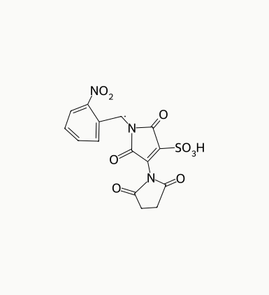 O=C1C(N2C(=O)CCC2=O)=C(S(=O)(=O)O)C(=O)N1[CH]c1ccccc1[N+](=O)[O-]